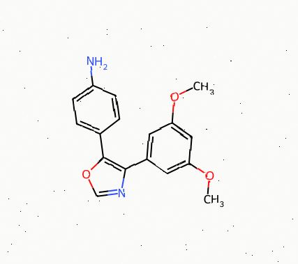 COc1cc(OC)cc(-c2ncoc2-c2ccc(N)cc2)c1